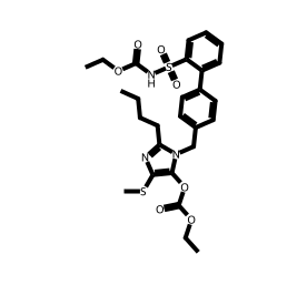 CCCCc1nc(SC)c(OC(=O)OCC)n1Cc1ccc(-c2ccccc2S(=O)(=O)NC(=O)OCC)cc1